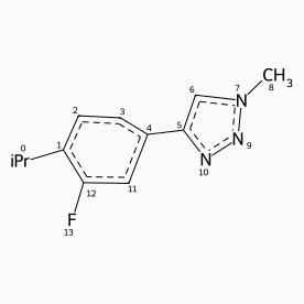 CC(C)c1ccc(-c2cn(C)nn2)cc1F